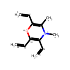 C=CC1=C(C)N(C)C(C=C)=C(C=C)O1